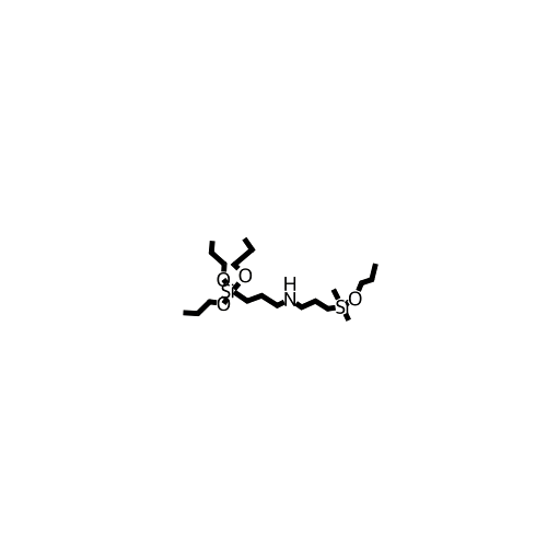 CCCO[Si](C)(C)CCCNCCC[Si](OCCC)(OCCC)OCCC